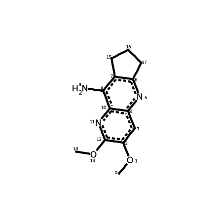 COc1cc2nc3c(c(N)c2nc1OC)CCC3